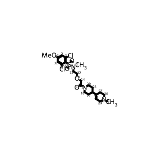 COc1cc(Cl)c(S(=O)(=O)N(C)CCOCC(=O)N2CCC(C3CCN(C)CC3)CC2)c(Cl)c1